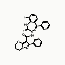 O=C(N[C@H]1N=C(c2ccccc2)c2cccc(F)c2NC1=O)c1c(-c2cccnc2)nn2c1OCCC2